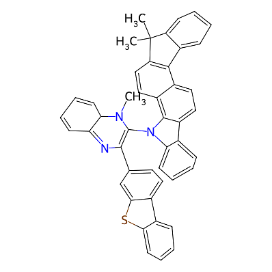 CN1C(n2c3ccccc3c3ccc4c5c(ccc4c32)C(C)(C)c2ccccc2-5)=C(c2ccc3c(c2)sc2ccccc23)N=C2C=CC=CC21